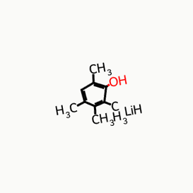 Cc1cc(C)c(O)c(C)c1C.[LiH]